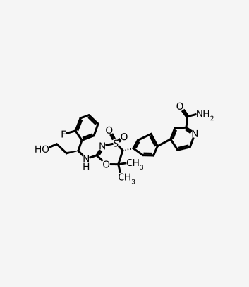 CC1(C)OC(N[C@@H](CCO)c2ccccc2F)=NS(=O)(=O)[C@@H]1c1ccc(-c2ccnc(C(N)=O)c2)cc1